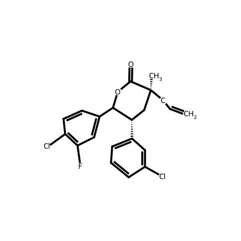 C=CC[C@@]1(C)C[C@H](c2cccc(Cl)c2)C(c2ccc(Cl)c(F)c2)OC1=O